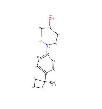 CC1(c2ccc(N3CCC(O)CC3)cc2)CCC1